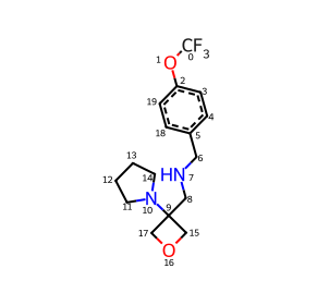 FC(F)(F)Oc1ccc(CNCC2(N3CCCC3)COC2)cc1